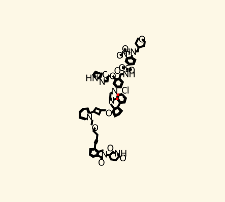 O=C1CCC(N2Cc3c(C#CCCOCCN4C=CC=CC=C4C4CC(COc5cccc(-c6ccc(Cl)cc6)c5CN5CCN(c6ccc(C(=O)NS(=O)(=O)c7ccc(NCC8CCOCC8)c([N+](=O)[O-])c7)c(Oc7cnc8[nH]ccc8c7)c6)CC5)C4)cccc3C2=O)C(=O)N1